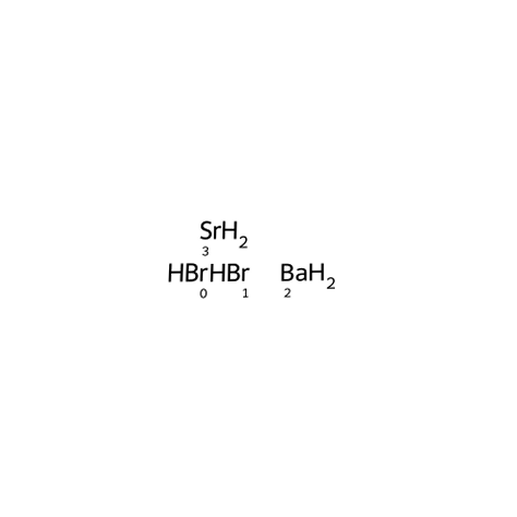 Br.Br.[BaH2].[SrH2]